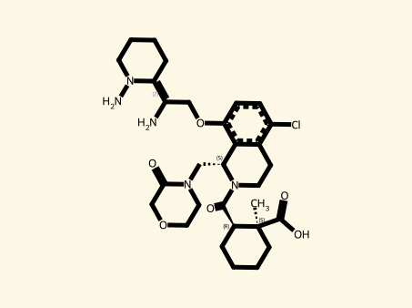 C[C@]1(C(=O)O)CCCC[C@H]1C(=O)N1CCc2c(Cl)ccc(OC/C(N)=C3\CCCCN3N)c2[C@H]1CN1CCOCC1=O